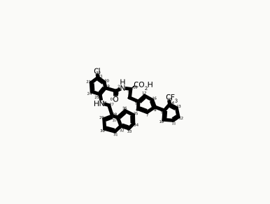 O=C(N[C@@H](Cc1ccc(-c2ccccc2C(F)(F)F)cc1)C(=O)O)c1cc(Cl)ccc1NCc1cccc2ccccc12